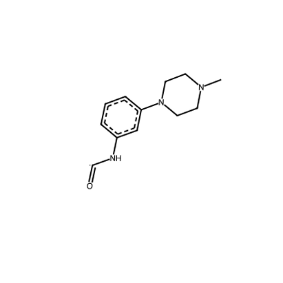 CN1CCN(c2cccc(N[C]=O)c2)CC1